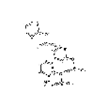 O=C([O-])Oc1ccccc1.O=C([O-])Oc1ccccc1.O=C([O-])Oc1ccccc1.[Al+3]